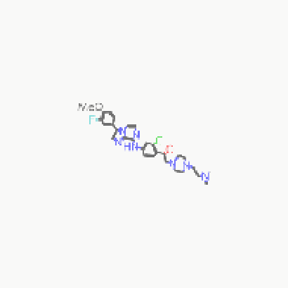 COc1ccc(-c2cnc3c(Nc4ccc(C(=O)CN5CCN(CCN(C)C)CC5)c(Cl)c4)nccn23)cc1F